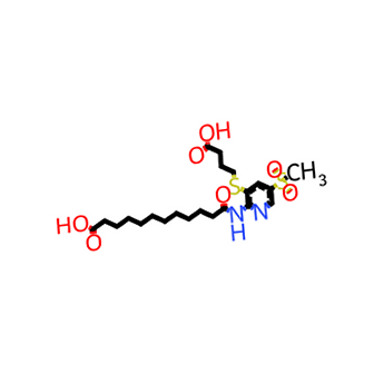 CS(=O)(=O)c1cnc(NC(=O)CCCCCCCCCCC(=O)O)c(SCCCC(=O)O)c1